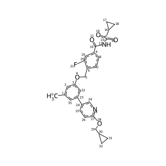 Cc1cc(OCc2ccc(C(=O)NS(=O)(=O)C3CC3)cc2F)cc(-c2ccc(OCC3CC3)nc2)c1